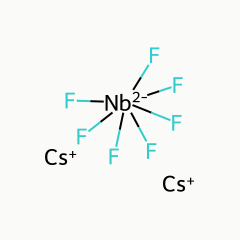 [Cs+].[Cs+].[F][Nb-2]([F])([F])([F])([F])([F])[F]